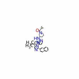 CC(C)(C#N)c1cnc(-c2ccc3ccccc3c2)n1-c1ccnc(N[C@H]2CCCN(C(=O)C3CC3)C2)n1